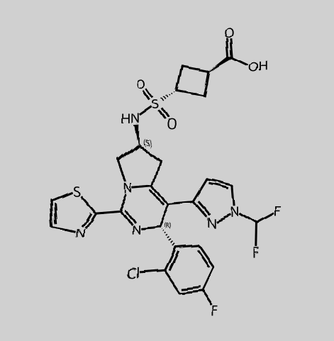 O=C(O)[C@H]1C[C@H](S(=O)(=O)N[C@H]2CC3=C(c4ccn(C(F)F)n4)[C@H](c4ccc(F)cc4Cl)N=C(c4nccs4)N3C2)C1